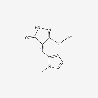 CC(C)OC1=NNC(=O)/C1=C/c1cccn1C